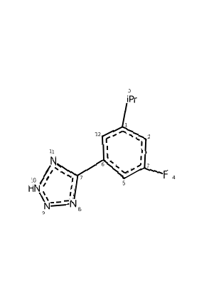 CC(C)c1cc(F)cc(-c2nn[nH]n2)c1